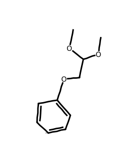 COC(COc1cc[c]cc1)OC